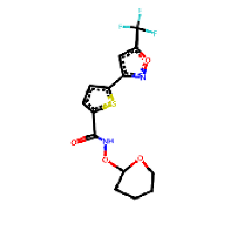 O=C(NOC1CCCCO1)c1ccc(-c2cc(C(F)(F)F)on2)s1